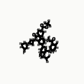 CNC(=O)c1cc(Nc2nc(-c3ccc4c(c3)N(C3CC(N5CCC[C@@H](F)C5)C3)C(=O)C43CCN(C(=O)OC(C)(C)C)CC3)cc3ncn(C(C)C)c23)ccc1C